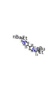 CCCCC(CC)C[n+]1ccc(-c2cc[n+](C(C)C(CC)CCCC)cc2)cc1